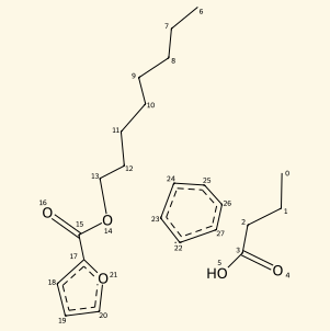 CCCC(=O)O.CCCCCCCCOC(=O)c1ccco1.[c]1ccccc1